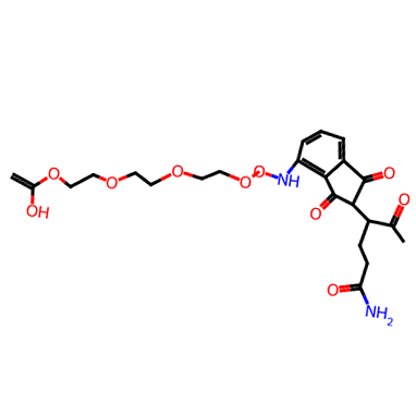 C=C(O)OCCOCCOCCOONc1cccc2c1C(=O)C(C(CCC(N)=O)C(C)=O)C2=O